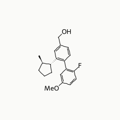 COc1ccc(F)c(-c2ccc(CO)cc2[C@@H]2CCC[C@H]2C)c1